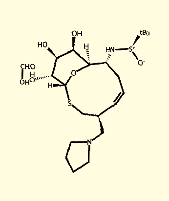 CC(C)(C)[S@@+]([O-])N[C@@H]1CC=C[C@@H](CN2CCCC2)CS[C@H]2O[C@H]1[C@H](O)[C@H](O)[C@H]2O.O=CO